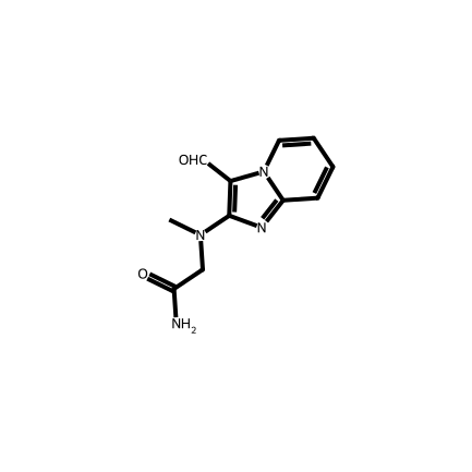 CN(CC(N)=O)c1nc2ccccn2c1C=O